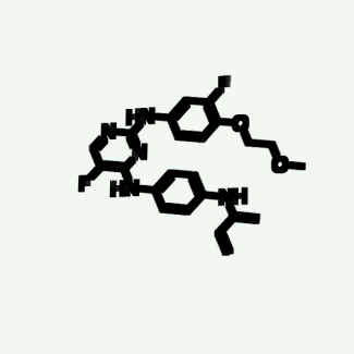 C=CC(=C)Nc1ccc(Nc2nc(Nc3ccc(OCCOC)c(F)c3)ncc2F)cc1